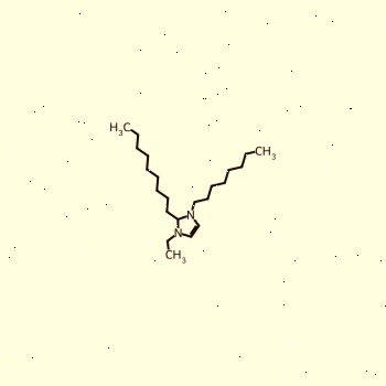 CCCCCCCCCC1N(CC)C=CN1CCCCCCCC